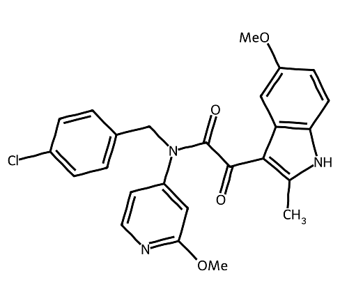 COc1ccc2[nH]c(C)c(C(=O)C(=O)N(Cc3ccc(Cl)cc3)c3ccnc(OC)c3)c2c1